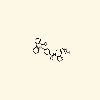 O=C(Nc1ccc(C(=O)N2CCc3cn[nH]c3-c3sccc32)cc1)c1ccccc1-c1ccccc1